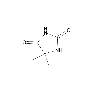 [CH2]C1(C)NC(=O)NC1=O